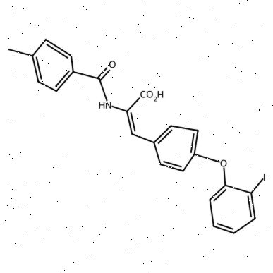 Cc1ccc(C(=O)N/C(=C/c2ccc(Oc3ccccc3I)cc2)C(=O)O)cc1